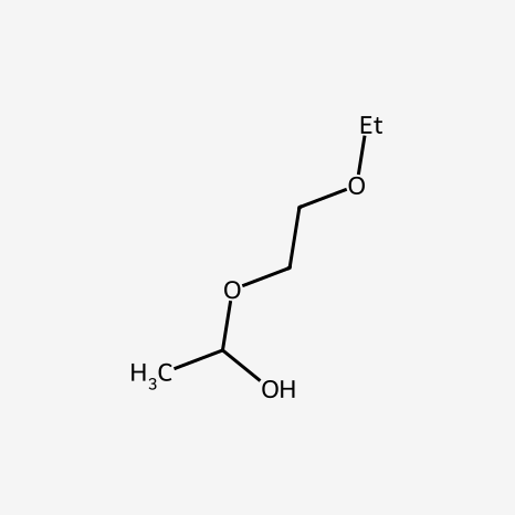 [CH2]COCCOC(C)O